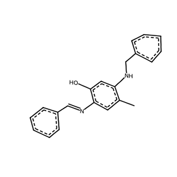 Cc1cc(/N=C/c2ccccc2)c(O)cc1NCc1ccccc1